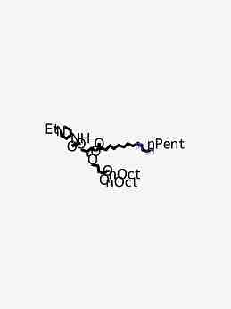 CCCCC/C=C\C/C=C\CCCCCCCC(=O)OCC(COCCCC(OCCCCCCCC)OCCCCCCCC)COC(=O)NC1CCN(CC)CC1